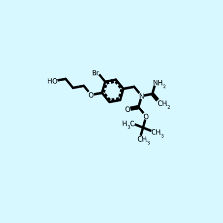 C=C(N)N(Cc1ccc(OCCCO)c(Br)c1)C(=O)OC(C)(C)C